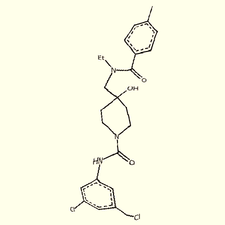 CCN(CC1(O)CCN(C(=O)Nc2cc(Cl)cc(Cl)c2)CC1)C(=O)c1ccc(C)cc1